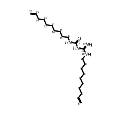 C=CCCCCCCCCNC(=N)NC(=O)NCCCCCCCCC=C